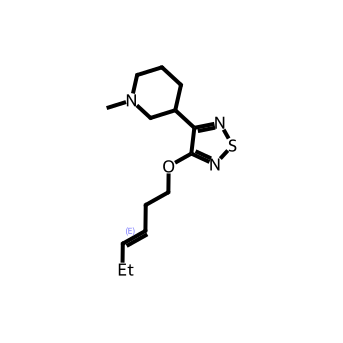 CC/C=C/CCOc1nsnc1C1CCCN(C)C1